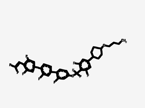 CCCCOC1CCC(c2cc(F)c(C(F)(F)Oc3ccc(-c4ccc(-c5cc(F)c(C=C(F)F)c(F)c5)c(F)c4)c(F)c3)c(F)c2)CC1